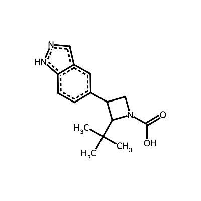 CC(C)(C)C1C(c2ccc3[nH]ncc3c2)CN1C(=O)O